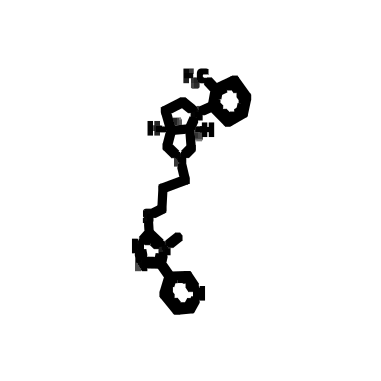 Cn1c(SCCCN2C[C@H]3CCN(c4ccccc4C(F)(F)F)[C@H]3C2)nnc1-c1cccnc1